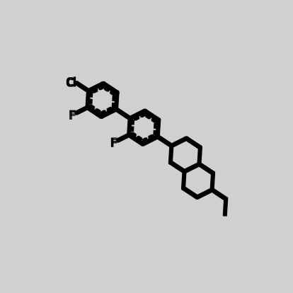 CCC1CCC2CC(c3ccc(-c4ccc(Cl)c(F)c4)c(F)c3)CCC2C1